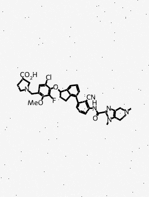 COc1c(CN2CCC(C(=O)O)C2)cc(Cl)c(OC2CCc3c(-c4cccc(NC(=O)c5nc6c(n5C)CCN(C)C6)c4C#N)cccc32)c1F